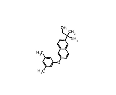 Cc1cc(C)cc(Oc2ccc3cc(C(C)(N)CO)ccc3c2)c1